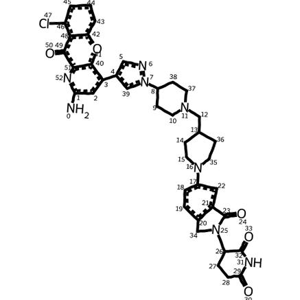 Nc1cc(-c2cnn(C3CCN(CC4CCN(c5ccc6c(c5)C(=O)N(C5CCC(=O)NC5=O)C6)CC4)CC3)c2)c2oc3cccc(Cl)c3c(=O)c2n1